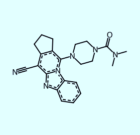 CN(C)C(=O)N1CCN(c2c3c(c(C#N)c4nc5ccccc5n24)CCC3)CC1